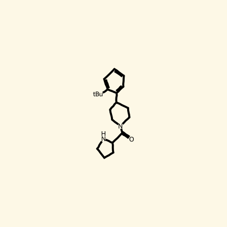 CC(C)(C)c1ccccc1C1CCN(C(=O)C2CCCN2)CC1